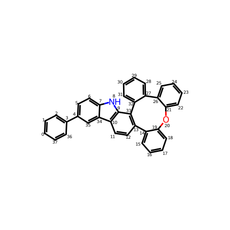 c1ccc(-c2ccc3[nH]c4c(ccc5c6ccccc6oc6ccccc6c6ccccc6c54)c3c2)cc1